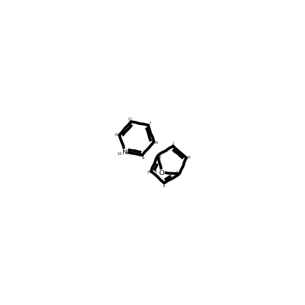 c1cc2ccc1o2.c1ccncc1